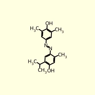 Cc1cc(O)c(C(C)C)cc1/N=N/c1cc(C)c(O)c(C)c1